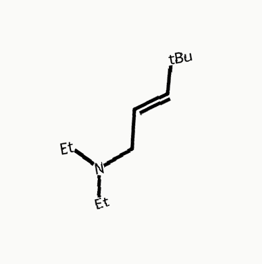 CCN(CC)C/C=C/C(C)(C)C